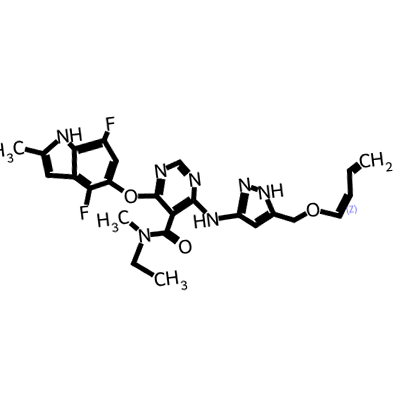 C=C/C=C\OCc1cc(Nc2ncnc(Oc3cc(F)c4[nH]c(C)cc4c3F)c2C(=O)N(C)CC)n[nH]1